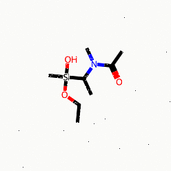 CCO[Si](C)(O)C(C)N(C)C(C)=O